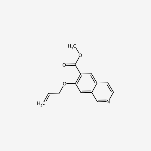 C=CCOc1cc2cnccc2cc1C(=O)OC